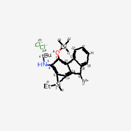 CC[Si]1(C)c2c(NC(C)(C)C)c(O[Si](C)(C)C)c3c(c21)[CH]([Ti+2])c1ccccc1-3.[Cl-].[Cl-]